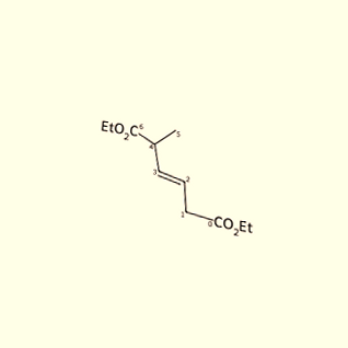 CCOC(=O)CC=CC(C)C(=O)OCC